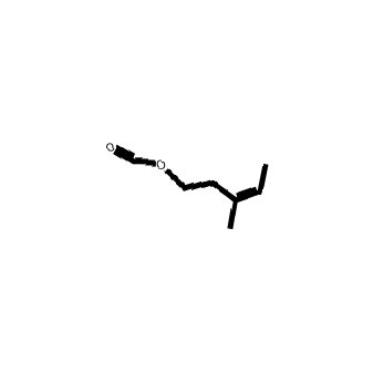 CC=C(C)CCOC=O